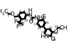 CCOCc1ccc(NC(=O)Nc2ccc(-c3c[nH]c(=O)c(OCC)c3)cc2F)cc1C(F)(F)F